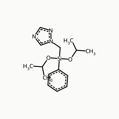 CC(C)O[Si](Cn1cncn1)(OC(C)C)c1ccccc1